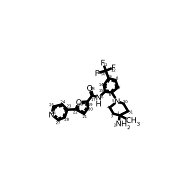 CC1(N)CCN(c2ccc(C(F)(F)F)cc2NC(=O)c2ccc(-c3ccncc3)o2)CC1